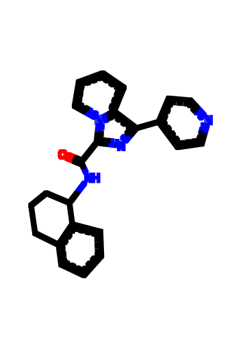 O=C(NC1CCCc2ccccc21)c1nc(-c2ccncc2)c2ccccn12